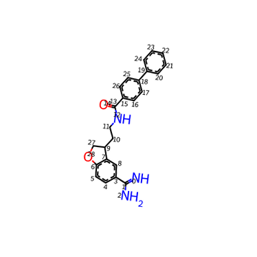 N=C(N)c1ccc2c(c1)C(CCNC(=O)c1ccc(-c3ccccc3)cc1)CO2